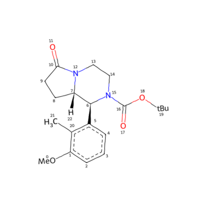 COc1cccc([C@H]2[C@@H]3CCC(=O)N3CCN2C(=O)OC(C)(C)C)c1C